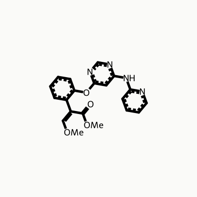 COC=C(C(=O)OC)c1ccccc1Oc1cc(Nc2ccccn2)ncn1